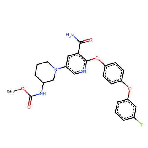 CC(C)(C)OC(=O)NC1CCCN(c2cnc(Oc3ccc(Oc4cccc(F)c4)cc3)c(C(N)=O)c2)C1